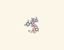 CS(=O)(=O)c1ccccc1CS(=O)(=O)C[C@H](N[C@@H](c1ccc(F)cc1F)C(F)(F)F)C(=O)NC1(C#N)CC1